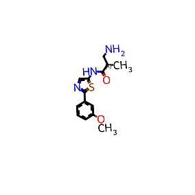 COc1cccc(-c2ncc(NC(=O)[C@H](C)CN)s2)c1